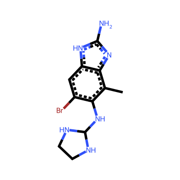 Cc1c(NC2NCCN2)c(Br)cc2[nH]c(N)nc12